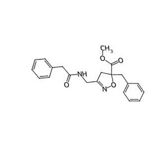 COC(=O)C1(Cc2ccccc2)CC(CNC(=O)Cc2ccccc2)=NO1